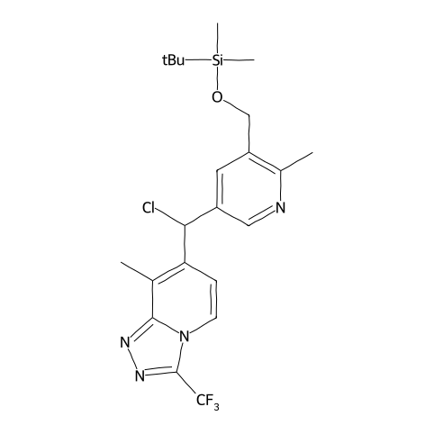 Cc1ncc(C(Cl)c2ccn3c(C(F)(F)F)nnc3c2C)cc1CO[Si](C)(C)C(C)(C)C